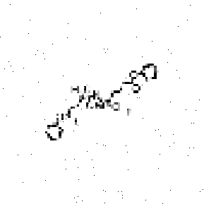 COC(C)(CCCC(=O)Oc1ccccc1)/N=N/C(C)CCCC(=O)Oc1ccccc1